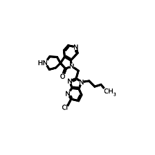 CCCCn1c(CN2C(=O)C3(CCNCC3)c3ccncc32)nc2nc(Cl)ccc21